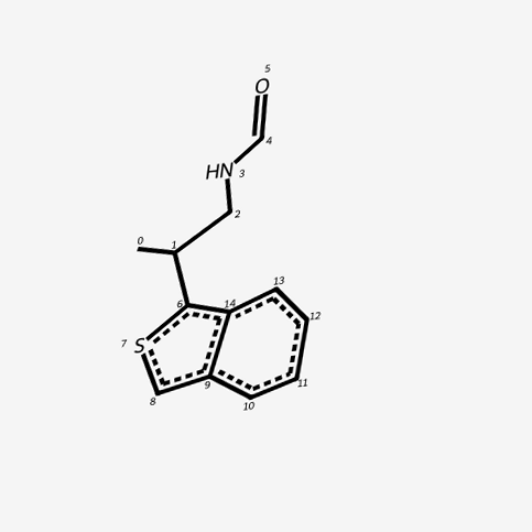 CC(CNC=O)c1scc2ccccc12